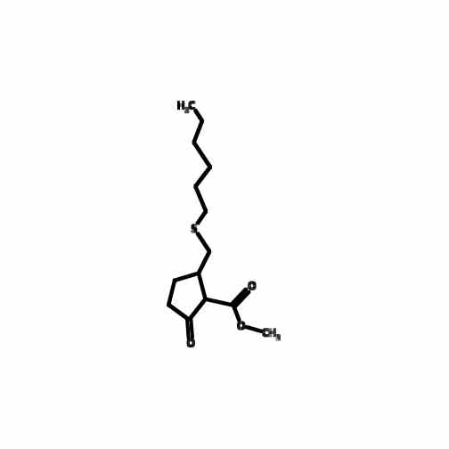 CCCCCCSCC1CCC(=O)C1C(=O)OC